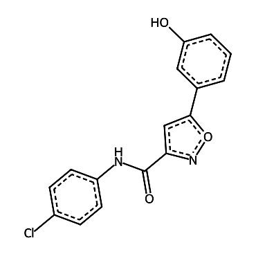 O=C(Nc1ccc(Cl)cc1)c1cc(-c2cccc(O)c2)on1